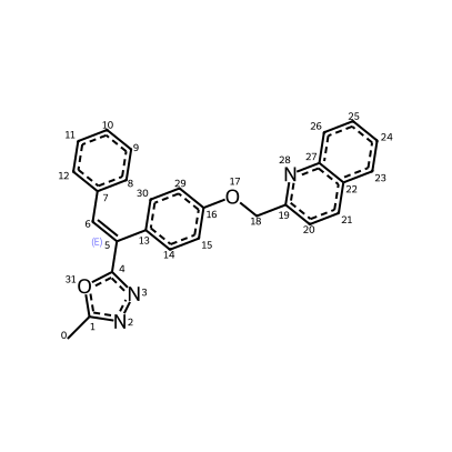 Cc1nnc(/C(=C/c2ccccc2)c2ccc(OCc3ccc4ccccc4n3)cc2)o1